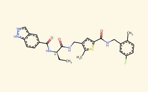 CC[C@@H](NC(=O)c1ccc2[nH]ncc2c1)C(=O)NCc1cc(C(=O)NCc2cc(F)ccc2C)sc1C